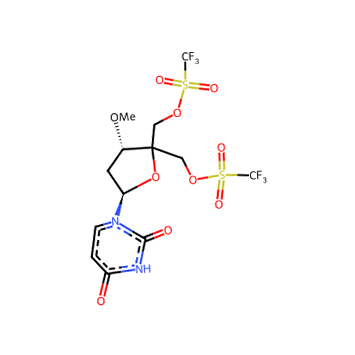 CO[C@H]1C[C@H](n2ccc(=O)[nH]c2=O)OC1(COS(=O)(=O)C(F)(F)F)COS(=O)(=O)C(F)(F)F